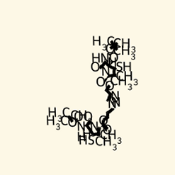 CC(C)(C)OC(=O)N[C@H]1C(=O)N2[C@H]1C(S)C(C)(C)[C@H]2C(=O)OCCCn1cc(COC(=O)[C@H]2N3C(=O)[C@H](NC(=O)OC(C)(C)C)[C@@H]3C(S)C2(C)C)nn1